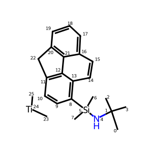 CC(C)(C)N[Si](C)(C)c1ccc2c3c1ccc1cccc(c13)C2.[CH3][Ti][CH3]